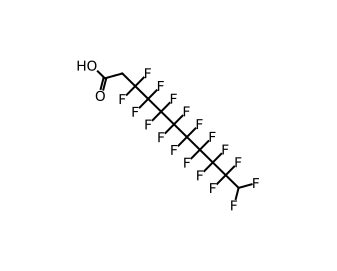 O=C(O)CC(F)(F)C(F)(F)C(F)(F)C(F)(F)C(F)(F)C(F)(F)C(F)(F)C(F)(F)C(F)F